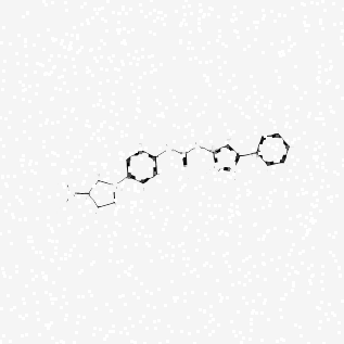 CN(C)C1CCN(c2ccc(NC(=O)Nc3cc(-c4ccccc4)[nH]n3)cc2)C1